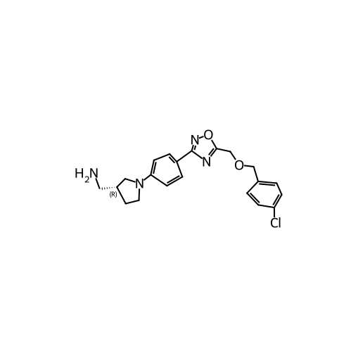 NC[C@H]1CCN(c2ccc(-c3noc(COCc4ccc(Cl)cc4)n3)cc2)C1